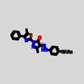 CC(=O)Nc1ccc(N/N=C2/C(=O)N(c3nc(-c4ccccc4)c(C)s3)N=C2C)cc1